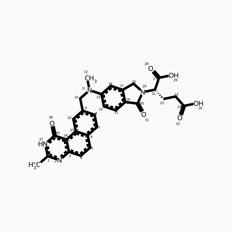 Cc1nc2ccc3ccc(CN(C)c4ccc5c(c4)CN([C@@H](CCC(=O)O)C(=O)O)C5=O)cc3c2c(=O)[nH]1